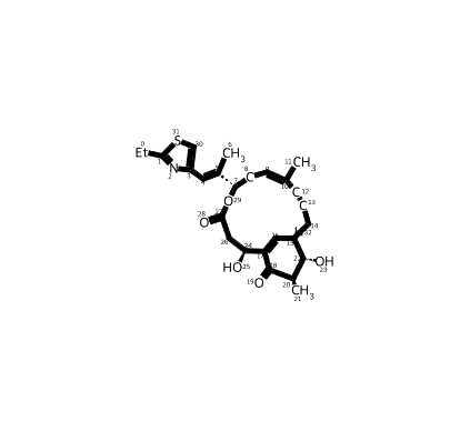 CCc1nc(/C=C(\C)[C@@H]2C/C=C(/C)CCC[C@@H]3C=C(C(=O)[C@H](C)[C@H]3O)[C@@H](O)CC(=O)O2)cs1